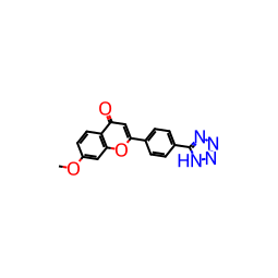 COc1ccc2c(=O)cc(-c3ccc(-c4nnn[nH]4)cc3)oc2c1